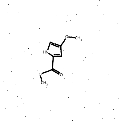 COC(=O)c1cc(OC)c[nH]1